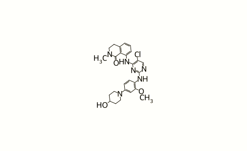 COc1cc(N2CCC(O)CC2)ccc1Nc1ncc(Cl)c(Nc2cccc3c2C(=O)N(C)CC3)n1